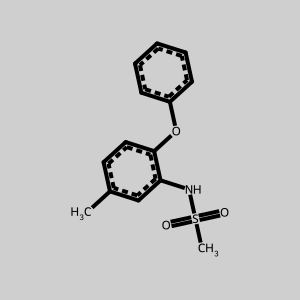 Cc1ccc(Oc2ccccc2)c(NS(C)(=O)=O)c1